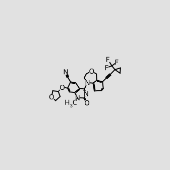 Cn1c(=O)nc(N2CCOCc3c(C#CC4(C(F)(F)F)CC4)cccc32)c2cc(C#N)c(O[C@H]3CCOC3)cc21